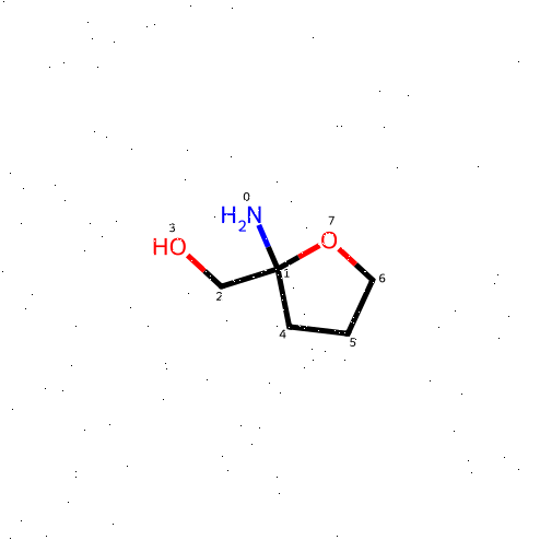 NC1(CO)CCCO1